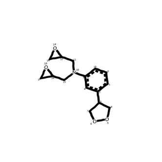 c1cc(C2COOC2)cc(N(CC2CO2)CC2CO2)c1